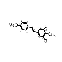 COc1ccc(/C=C/c2cc(Cl)c(C)c(Cl)c2)cc1